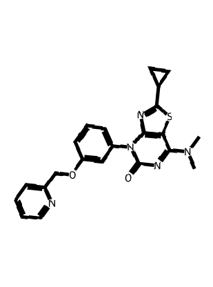 CN(C)c1nc(=O)n(-c2cccc(OCc3ccccn3)c2)c2nc(C3CC3)sc12